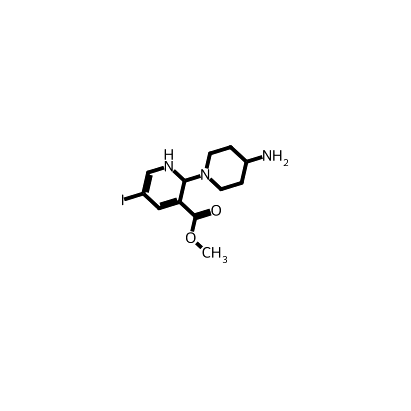 COC(=O)C1=CC(I)=CNC1N1CCC(N)CC1